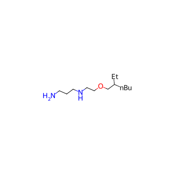 CCCCC(CC)COCCNCCCN